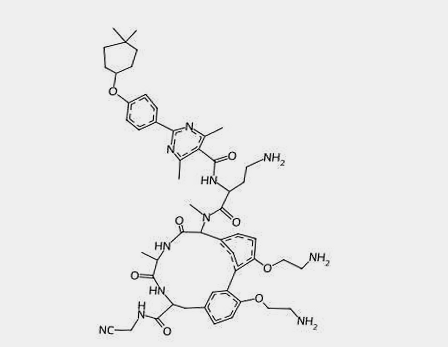 Cc1nc(-c2ccc(OC3CCC(C)(C)CC3)cc2)nc(C)c1C(=O)NC(CCN)C(=O)N(C)C1C(=O)NC(C)C(=O)NC(C(=O)NCC#N)Cc2ccc(OCCN)c(c2)-c2cc1ccc2OCCN